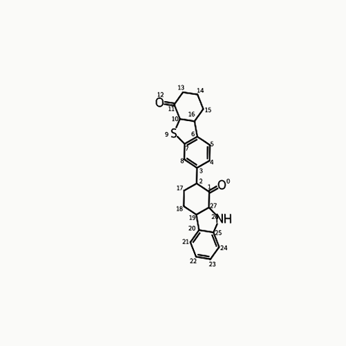 O=C1C(c2ccc3c(c2)SC2C(=O)CCCC32)CCC2c3ccccc3NC12